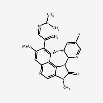 C=C(/C=N\N(C)C)c1cc2c(cc1OC)ncc1c2n(C2N=CC(F)=CN2C)c(=O)n1C